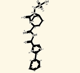 N=C(NC(=O)c1csc(-c2ccccc2)n1)C1CCC2CN1C(=O)N2OS(=O)(=O)O